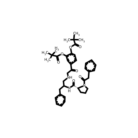 CC(C)(C)C(=O)Oc1ccc(C(=O)CNCC(Cc2ccccc2)NC(=O)[C@H]2CCCN2C(=O)Cc2ccccc2)cc1OC(=O)C(C)(C)C